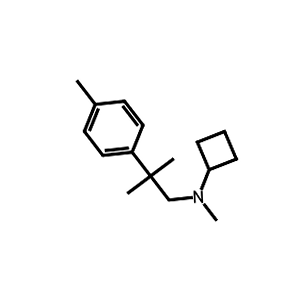 Cc1ccc(C(C)(C)CN(C)C2CCC2)cc1